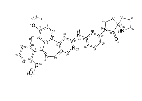 COc1ccc2c(c1)C(c1c(F)cccc1OC)=NCc1cnc(Nc3cccc(N4CCC5(CCCN5)C4=O)c3)nc1-2